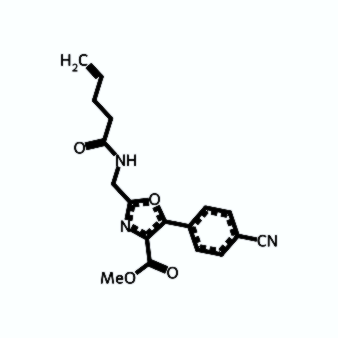 C=CCCC(=O)NCc1nc(C(=O)OC)c(-c2ccc(C#N)cc2)o1